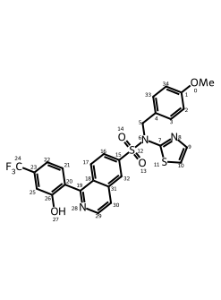 COc1ccc(CN(c2nccs2)S(=O)(=O)c2ccc3c(-c4ccc(C(F)(F)F)cc4O)nccc3c2)cc1